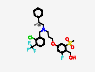 C[C@@H](CN(CCCOc1cc(F)c(CO)c(S(C)(=O)=O)c1)Cc1cccc(C(F)(F)F)c1Cl)c1ccccc1